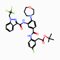 CC(C)(C)OC(=O)Cc1cc(F)ccc1NC(=O)c1ccc(N2CCCOCC2)c(NC(=O)c2nn(CC(F)(F)F)c3ccccc23)c1